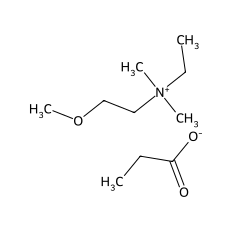 CCC(=O)[O-].CC[N+](C)(C)CCOC